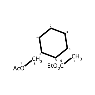 C1CCCCC1.CCOC(C)=O.COC(C)=O